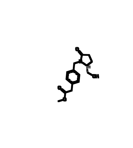 COC(=O)Cc1ccc(CN2C(=O)CC[C@@H]2CO)cc1